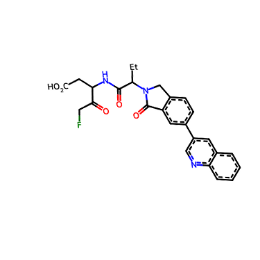 CCC(C(=O)NC(CC(=O)O)C(=O)CF)N1Cc2ccc(-c3cnc4ccccc4c3)cc2C1=O